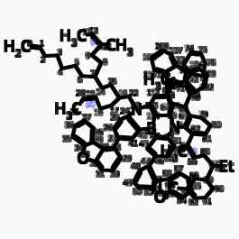 C=CCCCCCC(CC/C(C)=C\C)CCC(CC/C=C\C)CN1c2ccc(-c3cccc4oc5ccccc5c34)cc2B2c3cc(-c4cccc5oc6ccccc6c45)ccc3N(C3=C(C4CCC(C)=C(C5CC=CCC5)C4)CCC=C3/C(C)=C\CC(CC)C3CCC=C(C)C3)c3cc(-n4c5ccccc5c5ccccc54)cc1c32